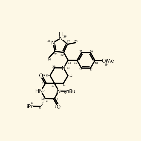 CCCCN1C(=O)[C@H](CC(C)C)NC(=O)C12CCN(C(c1ccc(OC)cc1)c1c(C)n[nH]c1C)CC2